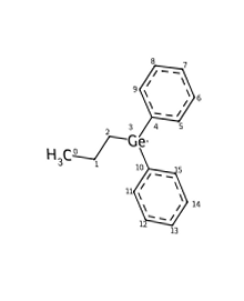 CC[CH2][Ge]([c]1ccccc1)[c]1ccccc1